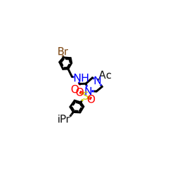 CC(=O)N1CCN(S(=O)(=O)c2ccc(C(C)C)cc2)C(C(=O)NCc2ccc(Br)cc2)C1